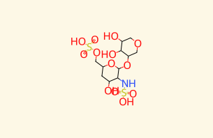 O=S(=O)(O)NC1C(O)CC(COS(=O)(=O)O)OC1OC1COCC(O)C1O